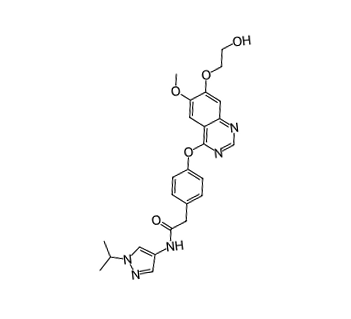 COc1cc2c(Oc3ccc(CC(=O)Nc4cnn(C(C)C)c4)cc3)ncnc2cc1OCCO